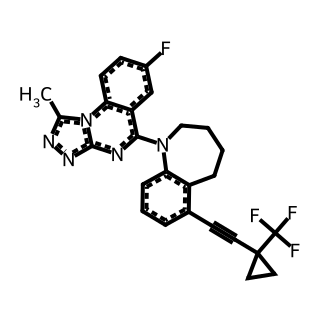 Cc1nnc2nc(N3CCCCc4c(C#CC5(C(F)(F)F)CC5)cccc43)c3cc(F)ccc3n12